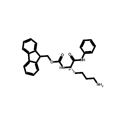 NCCCC[C@H](NC(=O)OCC1c2ccccc2-c2ccccc21)C(=O)Nc1ccccc1